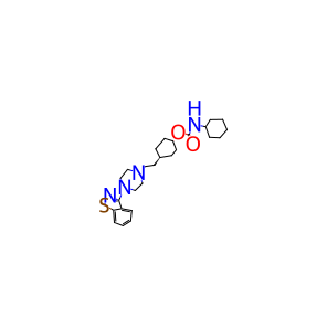 O=C(NC1CCCCC1)O[C@H]1CC[C@H](CCN2CCN(c3nsc4ccccc34)CC2)CC1